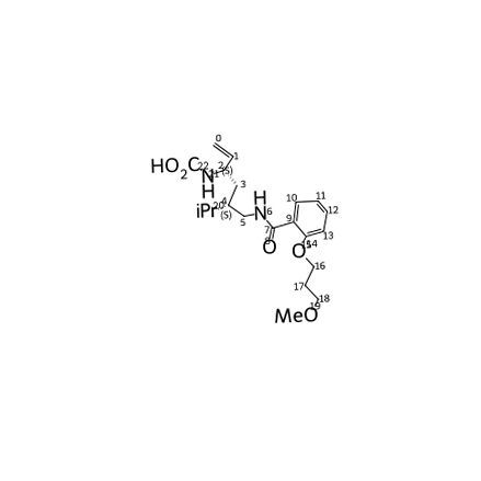 C=C[C@H](C[C@H](CNC(=O)c1ccccc1OCCCOC)C(C)C)NC(=O)O